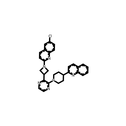 Clc1ccc2nc(N3CC(c4nccnc4N4CCC(c5ccc6ccccc6n5)CC4)C3)ccc2c1